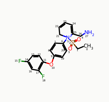 CCS(=O)(=O)[N+]1(c2ccc(Oc3ccc(F)cc3F)cc2)CC=CC=C1CN